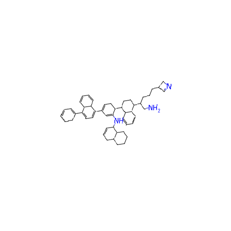 NCC(CCCC1C=NC1)C1CCC(C2CC=C(C3=CC=C(C4=CC=CCC4)C4C=CC=CC34)C=C2NC2C=CCC3CCCCC32)C2C=CC=CC21